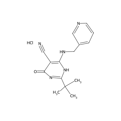 CC(C)(C)c1nc(=O)c(C#N)c(NCc2cccnc2)[nH]1.Cl